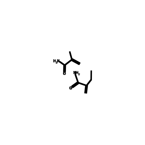 C=C(C)C(N)=O.C=C(CC)C(N)=O